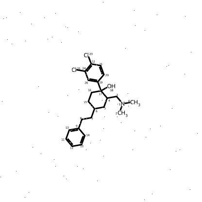 CN(C)CC1CC(CCc2ccccc2)CCC1(O)c1ccc(Cl)c(Cl)c1